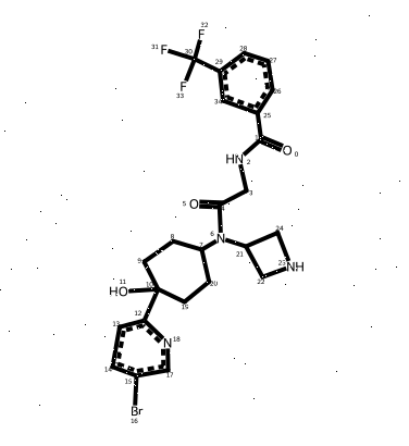 O=C(NCC(=O)N(C1CCC(O)(c2ccc(Br)cn2)CC1)C1CNC1)c1cccc(C(F)(F)F)c1